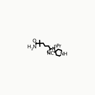 CCCN(C(=O)[CH]CCC(C)(C)C(N)=O)C1(C#N)CCNCC1